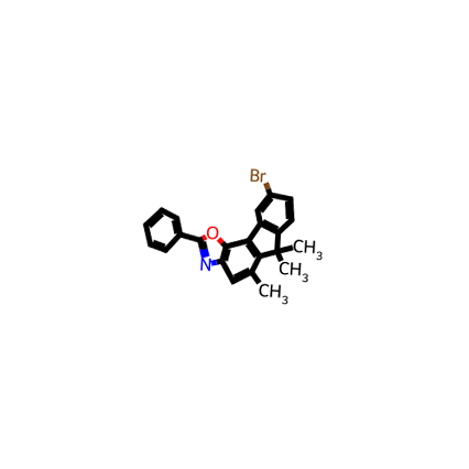 Cc1cc2nc(-c3ccccc3)oc2c2c1C(C)(C)c1ccc(Br)cc1-2